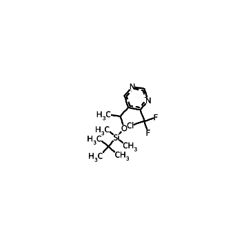 CC(O[Si](C)(C)C(C)(C)C)c1cncnc1C(F)(F)Cl